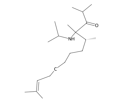 CC(C)=CCCCCC[C@@H](C)C(C)(NC(C)C)C(=O)C(C)C